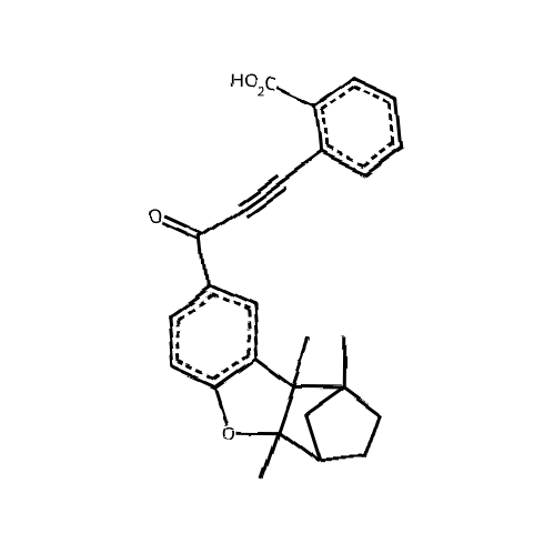 CC12CCC(C1)C1(C)Oc3ccc(C(=O)C#Cc4ccccc4C(=O)O)cc3C21C